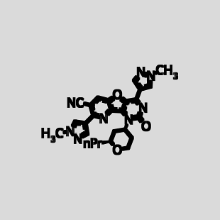 CCC[C@H]1C[C@@H](n2c(=O)nc(-c3cnn(C)c3)c3oc4cc(C#N)c(-c5cnn(C)c5)nc4c32)CCO1